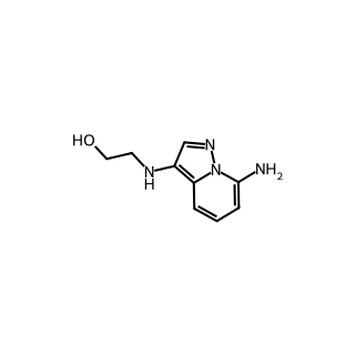 Nc1cccc2c(NCCO)cnn12